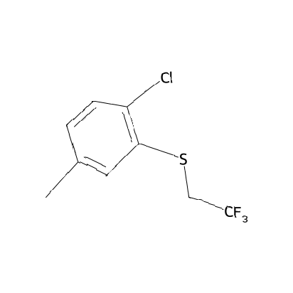 Cc1ccc(Cl)c(SCC(F)(F)F)c1